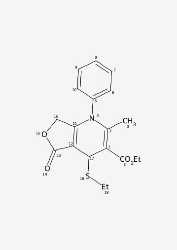 CCOC(=O)C1=C(C)N(c2ccccc2)C2=C(C(=O)OC2)C1SCC